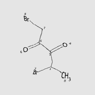 CC(Br)C(=O)C(=O)CBr